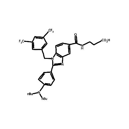 CCCCN(CCCC)c1ccc(-c2nc3cc(C(=O)NCCC(=O)O)ccc3n2Cc2cc(C(F)(F)F)cc(C(F)(F)F)c2)cc1